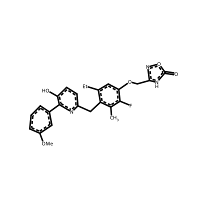 CCc1cc(OCc2noc(=O)[nH]2)c(F)c(C)c1Cc1ccc(O)c(-c2cccc(OC)c2)n1